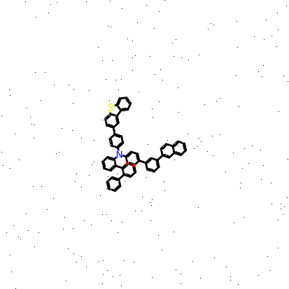 c1ccc(-c2ccccc2-c2ccccc2N(c2ccc(-c3cccc(-c4ccc5ccccc5c4)c3)cc2)c2ccc(-c3ccc4sc5ccccc5c4c3)cc2)cc1